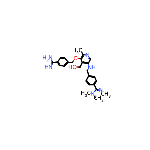 CN=C(c1ccc(CNc2cnc(C)c(OCc3ccc(C(=N)N)cc3)c2CO)cc1)N(C)C